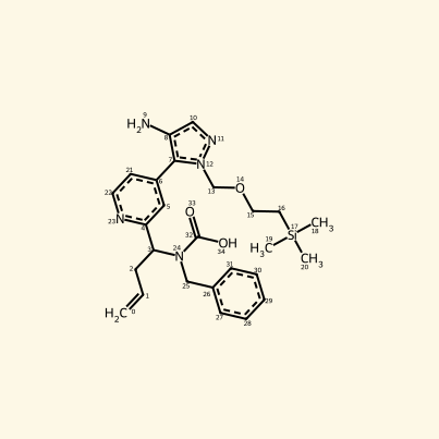 C=CCC(c1cc(-c2c(N)cnn2COCC[Si](C)(C)C)ccn1)N(Cc1ccccc1)C(=O)O